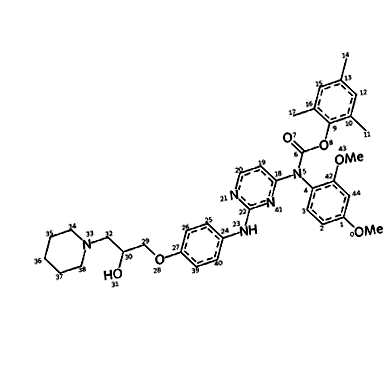 COc1ccc(N(C(=O)Oc2c(C)cc(C)cc2C)c2ccnc(Nc3ccc(OCC(O)CN4CCCCC4)cc3)n2)c(OC)c1